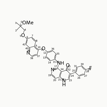 COC(C)(C)COc1ccc2c(Oc3ccc(Nc4nccc5[nH]cc(-c6ccc(F)cc6)c(=O)c45)cc3)ccnc2c1